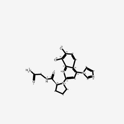 NC(=O)CNC(=O)[C@@H]1CCCN1c1cc(-n2ccnc2)c2ccc(Cl)c(Cl)c2n1